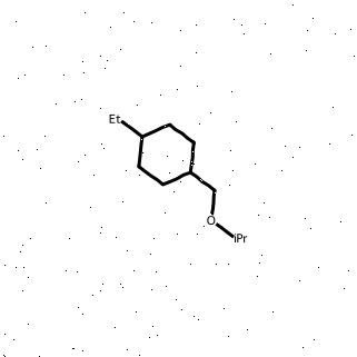 CCC1CCC(COC(C)C)CC1